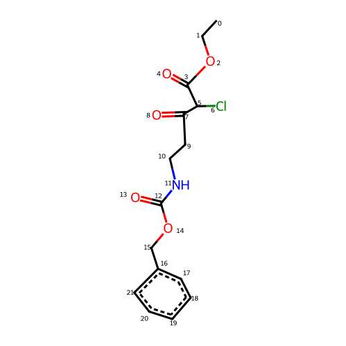 CCOC(=O)C(Cl)C(=O)CCNC(=O)OCc1ccccc1